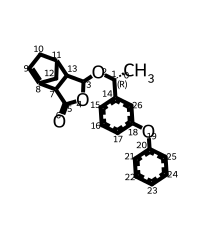 C[C@@H](OC1OC(=O)C2C3=CCC(C3)C12)c1cccc(Oc2ccccc2)c1